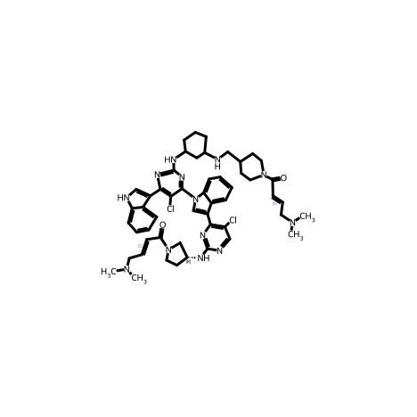 CN(C)C/C=C/C(=O)N1CCC(CNC2CCCC(Nc3nc(-c4c[nH]c5ccccc45)c(Cl)c(-n4cc(-c5nc(N[C@@H]6CCN(C(=O)/C=C/CN(C)C)C6)ncc5Cl)c5ccccc54)n3)C2)CC1